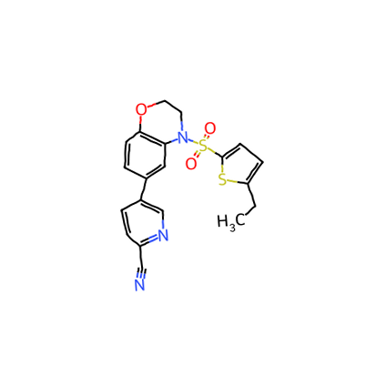 CCc1ccc(S(=O)(=O)N2CCOc3ccc(-c4ccc(C#N)nc4)cc32)s1